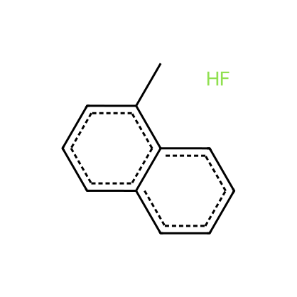 Cc1cccc2ccccc12.F